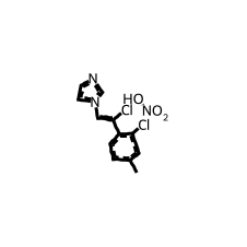 Cc1ccc(/C(Cl)=C/n2ccnc2)c(Cl)c1.O=[N+]([O-])O